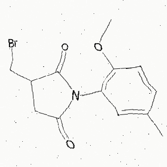 COc1ccc(C)cc1N1C(=O)CC(CBr)C1=O